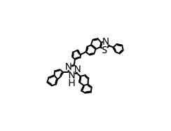 c1ccc(-c2nc3ccc4cc(-c5cccc(C6=NC(c7ccc8ccccc8c7)NC(c7ccc8ccccc8c7)=N6)c5)ccc4c3s2)cc1